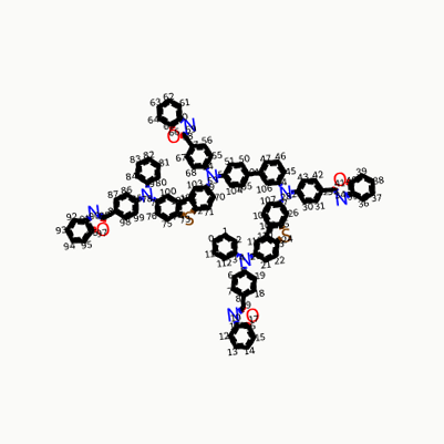 c1ccc(N(c2ccc(-c3nc4ccccc4o3)cc2)c2ccc3sc4cc(N(c5ccc(-c6nc7ccccc7o6)cc5)c5cccc(-c6ccc(N(c7ccc(-c8nc9ccccc9o8)cc7)c7ccc8sc9ccc(N(c%10ccccc%10)c%10ccc(-c%11nc%12ccccc%12o%11)cc%10)cc9c8c7)cc6)c5)ccc4c3c2)cc1